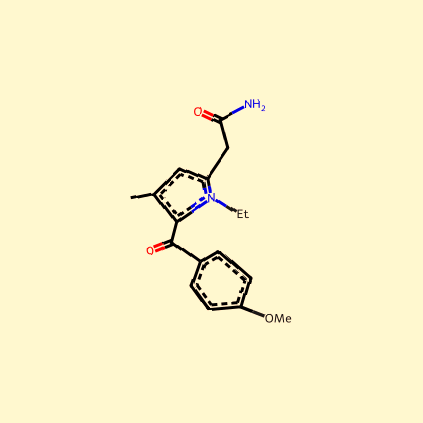 CCn1c(CC(N)=O)cc(C)c1C(=O)c1ccc(OC)cc1